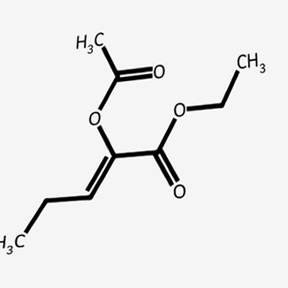 CCC=C(OC(C)=O)C(=O)OCC